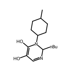 CCCCC1N=CC(O)=C(O)N1C1CCC(C)CC1